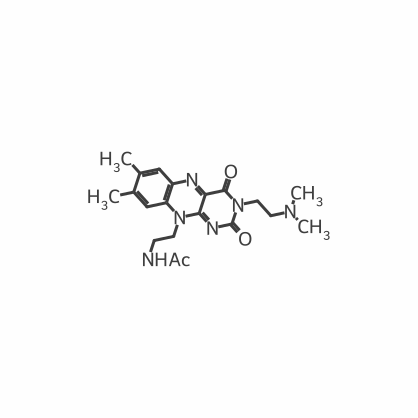 CC(=O)NCCn1c2nc(=O)n(CCN(C)C)c(=O)c-2nc2cc(C)c(C)cc21